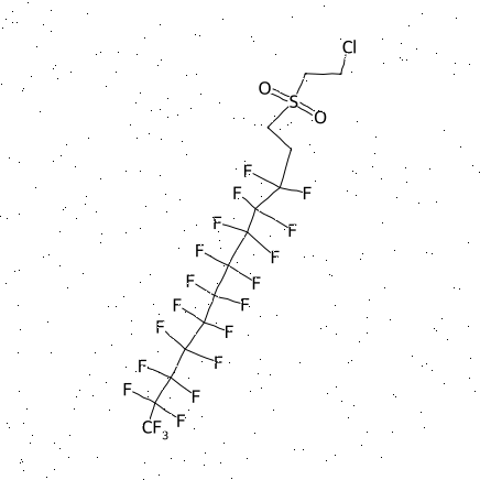 O=S(=O)(CCCl)CCC(F)(F)C(F)(F)C(F)(F)C(F)(F)C(F)(F)C(F)(F)C(F)(F)C(F)(F)C(F)(F)C(F)(F)F